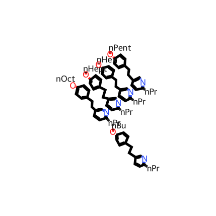 CCCCCCCCOc1ccc(CCc2ccc(CCC)nc2)cc1.CCCCCCCOc1ccc(CCc2ccc(CCC)nc2)cc1.CCCCCCOc1ccc(CCc2ccc(CCC)nc2)cc1.CCCCCOc1ccc(CCc2ccc(CCC)nc2)cc1.CCCCOc1ccc(CCc2ccc(CCC)nc2)cc1